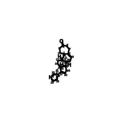 C[C@]12CCC(=O)CCC1=CC[C@@H]1[C@@H]2CC[C@]2(C)C(n3ccnc3)=CC[C@@H]12